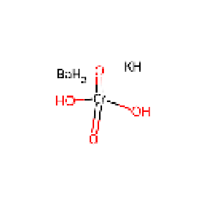 [BaH2].[KH].[O]=[Cr](=[O])([OH])[OH]